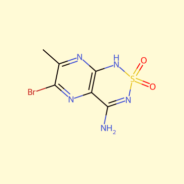 Cc1nc2c(nc1Br)C(N)=NS(=O)(=O)N2